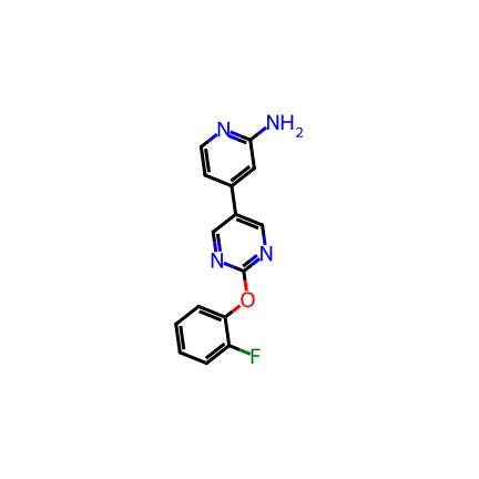 Nc1cc(-c2cnc(Oc3ccccc3F)nc2)ccn1